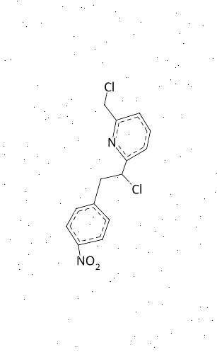 O=[N+]([O-])c1ccc(CC(Cl)c2cccc(CCl)n2)cc1